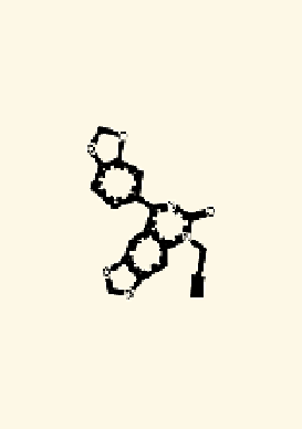 C#CCn1c(=O)nc(-c2ccc3c(c2)OCO3)c2cc3c(cc21)OCO3